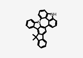 CC1(C)c2ccccc2-c2cc3c4cccc5[nH]c6cccc(c6c54)n4c5ccccc5c(c21)c34